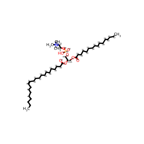 CCCCCCCC/C=C\CCCCCCCCCCCC(=O)O[C@H](COC(=O)CCCCCCCCCCCCCCC)COP(=O)(O)OCC[N+](C)(C)C